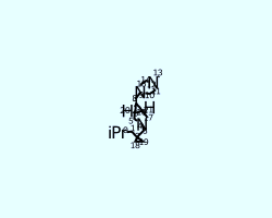 CC(C)CC1(CN2C[C@@H]3[C@@H](CN4CCN(C)CC4)[C@@H]3C2)CC1